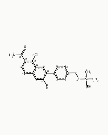 CC(C)(C)[Si](C)(C)OCc1ccc(-c2cc3c(Cl)c(C(N)=O)cnc3cc2F)cn1